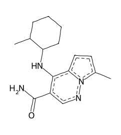 Cc1ccc2c(NC3CCCCC3C)c(C(N)=O)cnn12